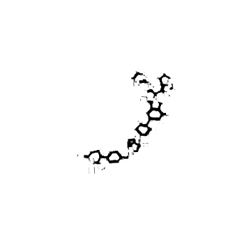 O=C1CCC(c2ccc(CN3C[C@H]4C[C@@H]3CN4c3ccc(-c4cc(F)c5c(c4)C(=O)N(C(C(=O)Nc4nccs4)c4ncn6c4CCC6)C5)cc3)cc2)C(=O)N1